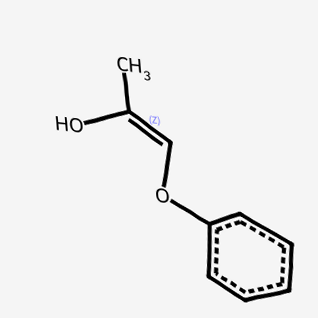 C/C(O)=C/Oc1ccccc1